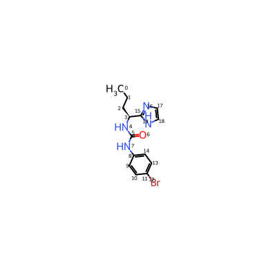 CCC[C@H](NC(=O)Nc1ccc(Br)cc1)c1ncc[nH]1